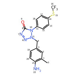 Cc1cc(Cn2nnc(=O)n2-c2ccc(SC(F)(F)F)cc2)ccc1N